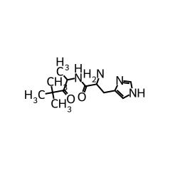 CC(NC(=O)C(N)Cc1c[nH]cn1)C(=O)C(C)(C)C